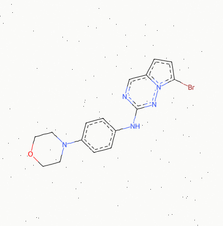 Brc1ccc2cnc(Nc3ccc(N4CCOCC4)cc3)nn12